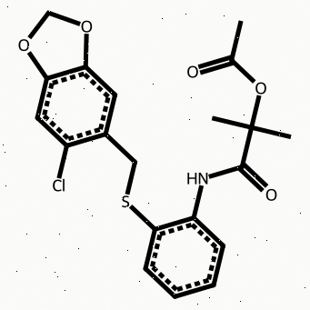 CC(=O)OC(C)(C)C(=O)Nc1ccccc1SCc1cc2c(cc1Cl)OCO2